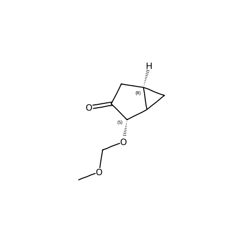 COCO[C@@H]1C(=O)C[C@H]2CC21